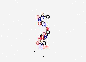 CC(C)(C)OC(=O)N(Cc1ccc(OCCN2CCC3(CC2)CN(C(=O)c2csc(-c4ccccc4)n2)CCO3)cc1)C[C@H](O)c1ccc(O)c2[nH]c(=O)sc12